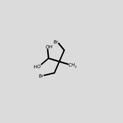 CC(CBr)(CBr)C(O)O